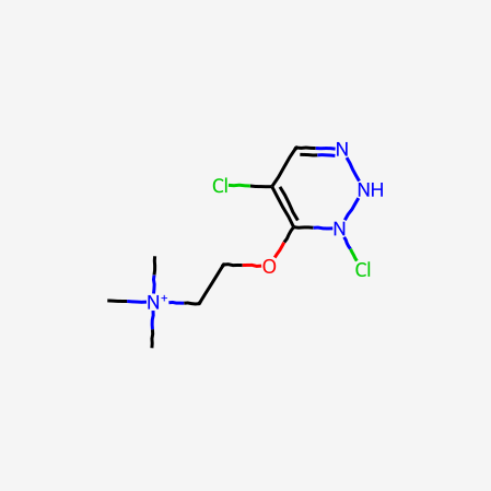 C[N+](C)(C)CCOC1=C(Cl)C=NNN1Cl